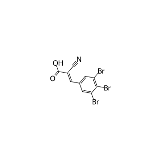 N#C/C(=C\c1cc(Br)c(Br)c(Br)c1)C(=O)O